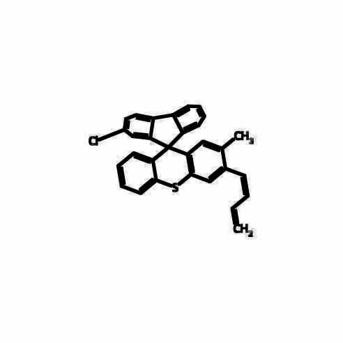 C=C/C=C\c1cc2c(cc1C)C1(c3ccccc3S2)c2ccccc2-c2ccc(Cl)cc21